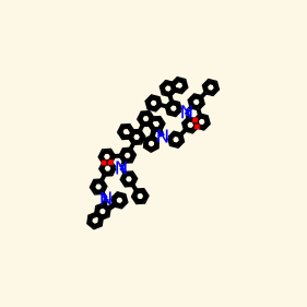 c1ccc(-c2ccc(N(c3cccc(-c4cccc(-n5c6ccccc6c6cc7ccccc7cc65)c4)c3)c3ccc(-c4ccc(-c5cccc6ccc7c(c8ccccc8n7-c7cccc(-c8cccc(N(c9ccc(-c%10ccccc%10)c(-c%10cccc%11ccccc%10%11)c9)c9ccc(-c%10ccccc%10)cc9-c9ccccc9)c8)c7)c56)c5ccccc45)cc3-c3ccccc3)cc2)cc1